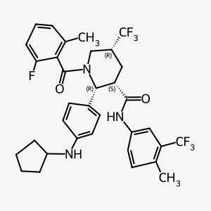 Cc1ccc(NC(=O)[C@H]2C[C@@H](C(F)(F)F)CN(C(=O)c3c(C)cccc3F)[C@H]2c2ccc(NC3CCCC3)cc2)cc1C(F)(F)F